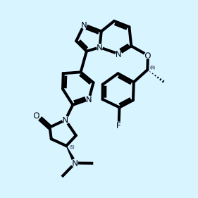 C[C@@H](Oc1ccc2ncc(-c3ccc(N4C[C@@H](N(C)C)CC4=O)nc3)n2n1)c1cccc(F)c1